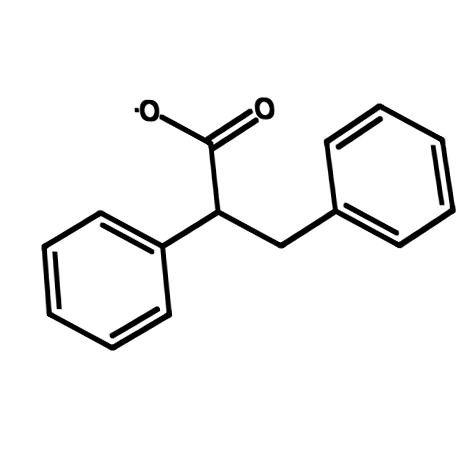 [O]C(=O)C(Cc1ccccc1)c1ccccc1